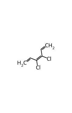 C=C/C(Cl)=C(/Cl)C=C